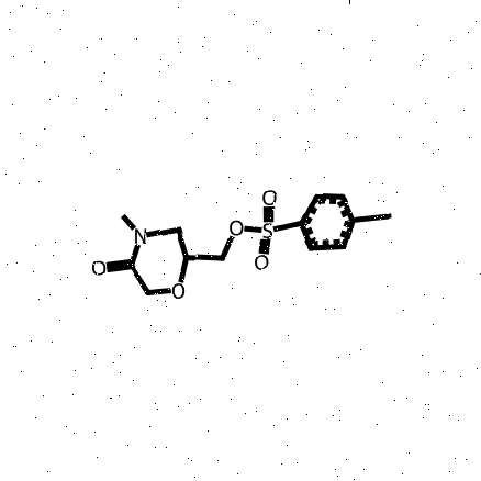 Cc1ccc(S(=O)(=O)OCC2CN(C)C(=O)CO2)cc1